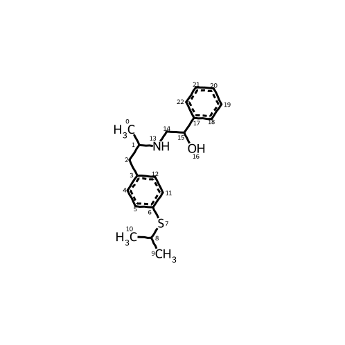 CC(Cc1ccc(SC(C)C)cc1)NCC(O)c1ccccc1